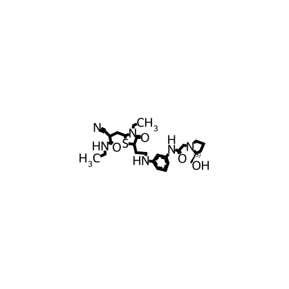 CCNC(=O)C(C#N)CC1SC(CCNc2cccc(NC(=O)CN3CCC[C@H]3CO)c2)C(=O)N1CC